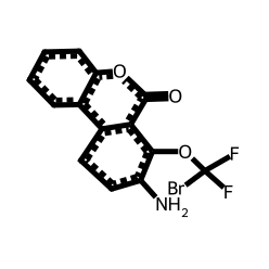 Nc1ccc2c(c1OC(F)(F)Br)c(=O)oc1ccccc12